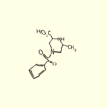 CC1CN(S(=O)(=O)c2ccccc2)CC(C(=O)O)N1